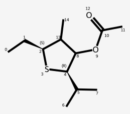 CC[C@@H]1S[C@H](C(C)C)C(OC(C)=O)C1C